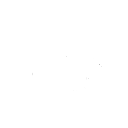 CNC(=O)c1cnc2c(-c3cc(F)cc(F)c3F)cccc2c1N(C)C(C)=O